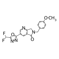 COc1ccc(CN2Cc3ncc(-c4nnc(C(F)F)o4)cc3C2=O)cc1